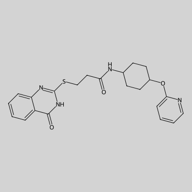 O=C(CCSc1nc2ccccc2c(=O)[nH]1)NC1CCC(Oc2ccccn2)CC1